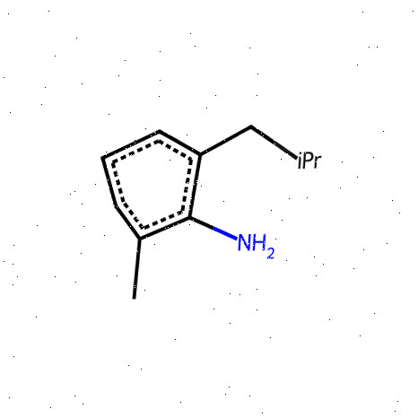 Cc1cccc(CC(C)C)c1N